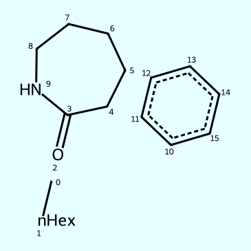 CCCCCCC.O=C1CCCCCN1.c1ccccc1